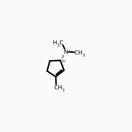 CC1=C[C@@H](N(C)C)CC1